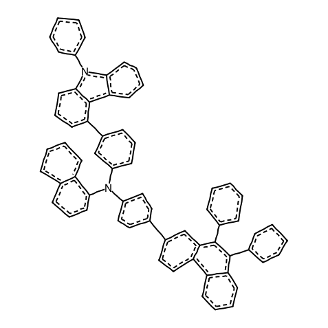 c1ccc(-c2c(-c3ccccc3)c3cc(-c4ccc(N(c5cccc(-c6cccc7c6c6ccccc6n7-c6ccccc6)c5)c5cccc6ccccc56)cc4)ccc3c3ccccc23)cc1